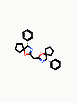 c1ccc([C@@H]2N=C(CC3=N[C@@H](c4ccccc4)C4(CCCC4)O3)OC23CCCC3)cc1